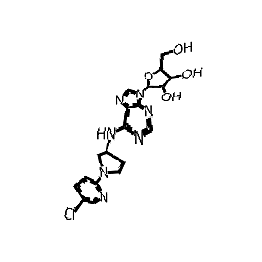 OCC1OC(n2cnc3c(N[C@H]4CCN(c5ccc(Cl)cn5)C4)ncnc32)C(O)C1O